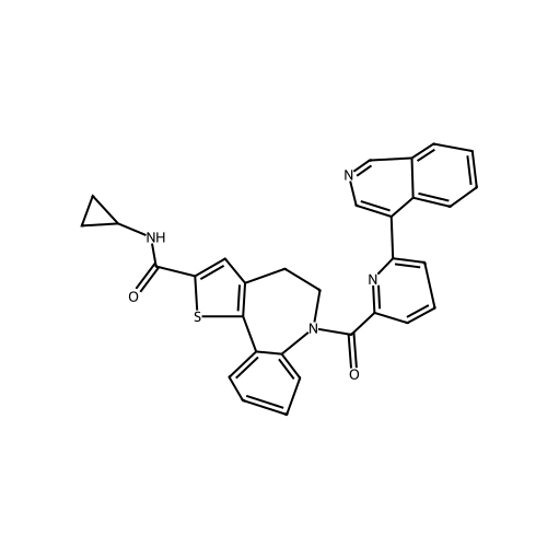 O=C(NC1CC1)c1cc2c(s1)-c1ccccc1N(C(=O)c1cccc(-c3cncc4ccccc34)n1)CC2